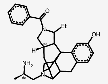 CCC1C2[C@@H](CN1C(=O)c1ccccc1)CC1(C)C3C4Cc5ccc(O)cc5C21C4CN3C[C@@H](C)N